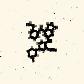 COc1cc(C2CCCN(C)C2)ccc1Nc1nc(Nc2ccccc2SC(C)C)c2cn[nH]c2n1